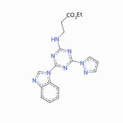 CCOC(=O)CCNc1nc(-n2cccn2)nc(-n2cnc3ccccc32)n1